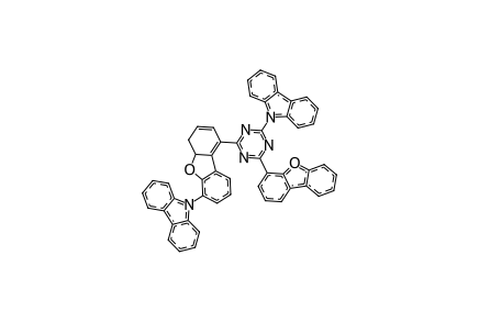 C1=CC(c2nc(-c3cccc4c3oc3ccccc34)nc(-n3c4ccccc4c4ccccc43)n2)=C2c3cccc(-n4c5ccccc5c5ccccc54)c3OC2C1